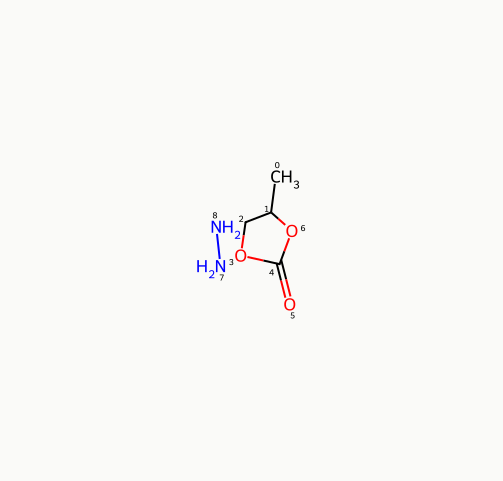 CC1COC(=O)O1.NN